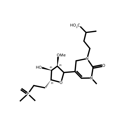 C=P(C)(C)CC[C@H]1OC(C2=CN(C)C(=O)N(CCC(C)C(=O)O)C2)[C@H](OC)[C@@H]1O